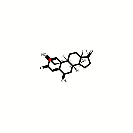 C#CC[C@]12C=CC(=O)C=C1C(=C)C[C@H]1[C@@H]3CCC(=O)[C@@]3(C)CC[C@@H]12